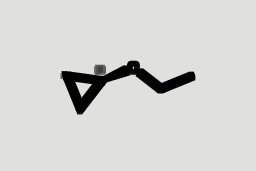 CCO[C@@H]1[CH]C1